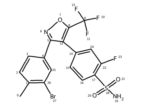 Cc1ccc(-c2noc(C(F)(F)F)c2-c2ccc(S(N)(=O)=O)c(F)c2)cc1Br